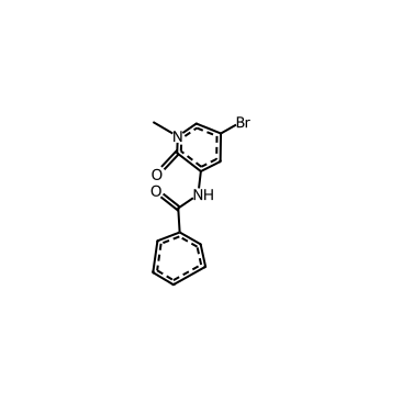 Cn1cc(Br)cc(NC(=O)c2ccccc2)c1=O